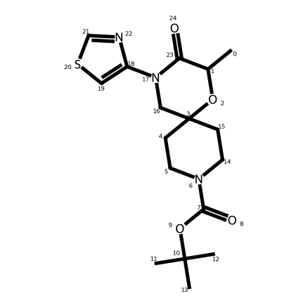 CC1OC2(CCN(C(=O)OC(C)(C)C)CC2)CN(c2cscn2)C1=O